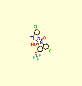 CN1CC2N(C(=O)N(c3ccc(Cl)cc3)C2(O)c2cccc(OC(F)(F)F)c2)c2ccc(Cl)cc21